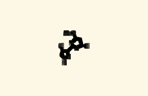 COc1cc(Cl)nc(-c2n[nH]cc2Cl)n1